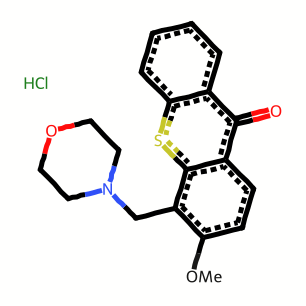 COc1ccc2c(=O)c3ccccc3sc2c1CN1CCOCC1.Cl